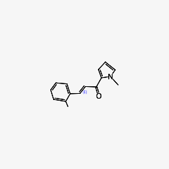 Cc1ccccc1/C=C/C(=O)c1cccn1C